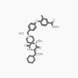 CCCCN1C(=O)[C@@H]([C@H](O)C2CCCCC2)NC(=O)C12CCN(Cc1ccc(Oc3ccc(C(=O)NC)cc3C)cc1)CC2.Cl